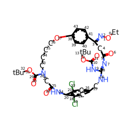 CCON=C1CC(=O)/N=C(\NC(=O)OC(C)(C)C)NCc2cc(Cl)c(c(Cl)c2)NC(=O)CN(C(=O)OC(C)(C)C)CCCCOc2ccc1cc2